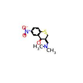 CN(C)C=C1CSc2ccc([N+](=O)[O-])cc2C1=O